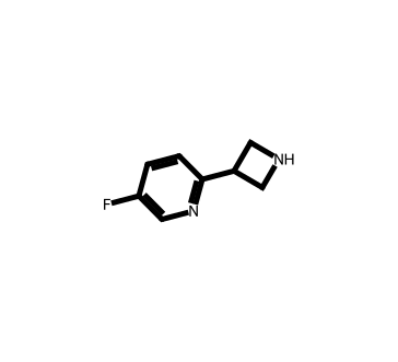 Fc1ccc(C2CNC2)nc1